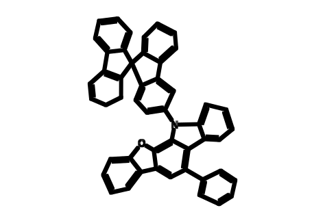 C1=CC2=C(CC1)C1(c3ccccc32)c2ccccc2-c2cc(-n3c4ccccc4c4c(-c5ccccc5)cc5c6ccccc6oc5c43)ccc21